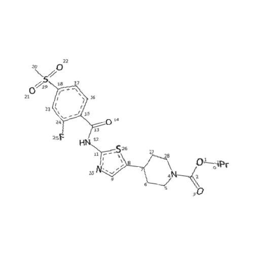 CC(C)OC(=O)N1CCC(c2cnc(NC(=O)c3ccc(S(C)(=O)=O)cc3F)s2)CC1